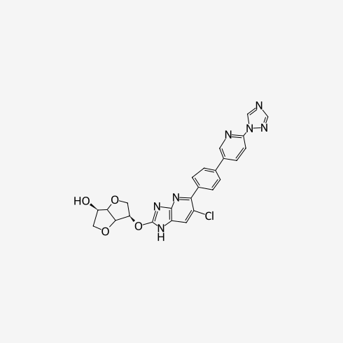 O[C@@H]1COC2C1OC[C@H]2Oc1nc2nc(-c3ccc(-c4ccc(-n5cncn5)nc4)cc3)c(Cl)cc2[nH]1